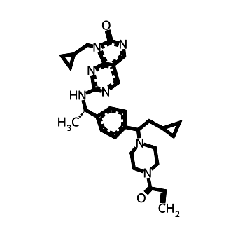 C=CC(=O)N1CCN(C(CC2CC2)c2ccc([C@H](C)Nc3ncc4cnc(=O)n(CC5CC5)c4n3)cc2)CC1